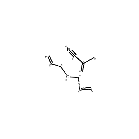 C=C(C)C#N.C=CCOCC=C